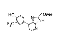 COCc1nc2c(-c3ccc(O)c(C(F)(F)F)c3)ccnc2[nH]1